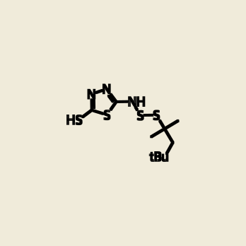 CC(C)(C)CC(C)(C)SSNc1nnc(S)s1